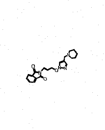 O=C1c2ccccc2C(=O)N1CCCOn1cc(CN2CCCCC2)cn1